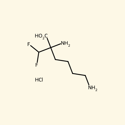 Cl.NCCCCC(N)(C(=O)O)C(F)F